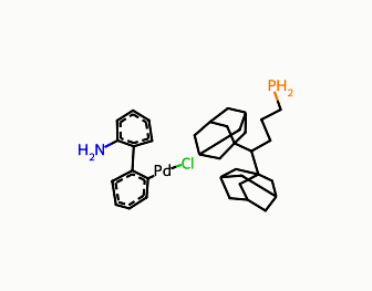 Nc1ccccc1-c1cccc[c]1[Pd][Cl].PCCCC(C12CC3CC(CC(C3)C1)C2)C12CC3CC(CC(C3)C1)C2